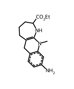 CCOC(=O)C1CCCC2=C(N1)N(C)c1cc(N)ccc1C2